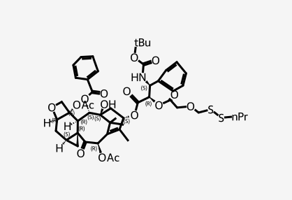 CCCSSCOCC(=O)O[C@@H](C(=O)O[C@H]1C[C@@]2(O)[C@@H](OC(=O)c3ccccc3)[C@@H]3[C@]4(OC(C)=O)CO[C@@H]4C[C@@H]4C[C@@]43C(=O)[C@H](OC(C)=O)C(=C1C)C2(C)C)[C@@H](NC(=O)OC(C)(C)C)c1ccccc1